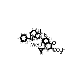 COc1c(N2C[C@@H]3CCCN(Cc4ccccc4)[C@@H]3C2)c(F)cc2c(=O)c(C(=O)O)cn(C3CC3)c12